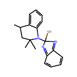 CC1CC(C)(C)N(C2(S)N=c3ccccc3=N2)c2ccccc21